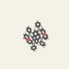 c1ccc(N(c2ccccc2)c2cc3c(N(c4ccccc4)c4ccccc4)ccc4c(N(c5ccccc5)c5ccccc5)cc5c(N(c6ccccc6)c6ccccc6)ccc2c5c43)cc1